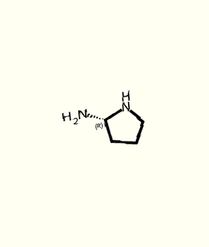 N[C@H]1CCCN1